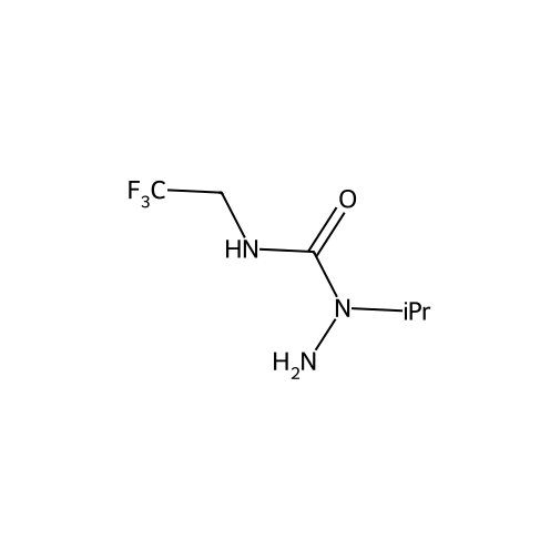 CC(C)N(N)C(=O)NCC(F)(F)F